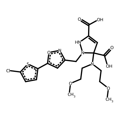 COCCN(CCOC)C1(C(=O)O)C=C(C(=O)O)NN1Cc1cc(-c2ccc(Cl)s2)on1